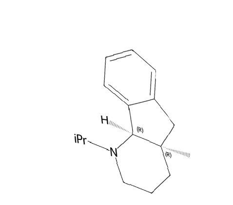 CC(C)N1CCC[C@]2(C)Cc3ccccc3[C@H]12